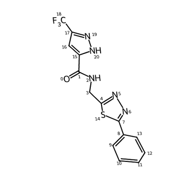 O=C(NCc1nnc(-c2ccccc2)s1)c1cc(C(F)(F)F)n[nH]1